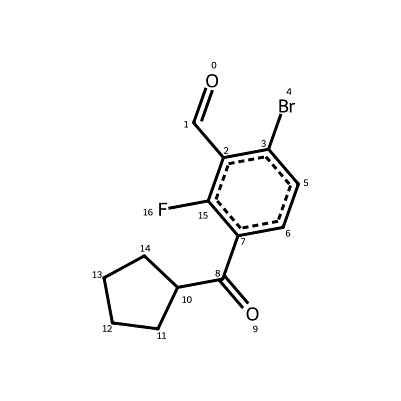 O=Cc1c(Br)ccc(C(=O)C2CCCC2)c1F